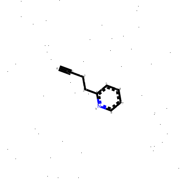 C#CCCc1c[c]ccn1